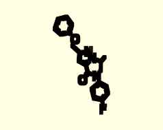 CC1CN(c2ccc(F)cc2)C(=O)c2cc(COc3ccccc3)nn21